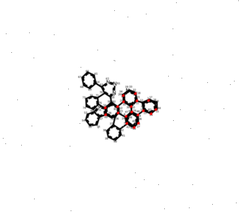 c1ccc(-c2ccccc2-c2c(-c3ccccc3)nnnc2-c2c(-c3ccccc3-c3ccccc3)c(-c3ccccc3-c3ccccc3)c3c(sc4ccccc43)c2-c2nnnc(-c3ccccc3)c2-c2ccccc2-c2ccccc2)cc1